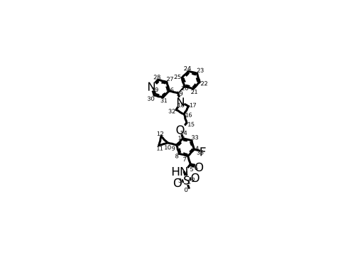 CS(=O)(=O)NC(=O)c1cc(C2CC2)c(OCC2CN([C@H](c3ccccc3)c3ccncc3)C2)cc1F